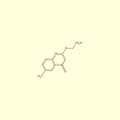 Cc1ccc2oc(OCC(=O)O)cc(=O)c2c1